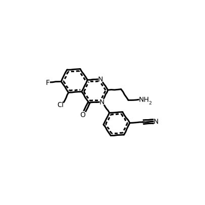 N#Cc1cccc(-n2c(CCN)nc3ccc(F)c(Cl)c3c2=O)c1